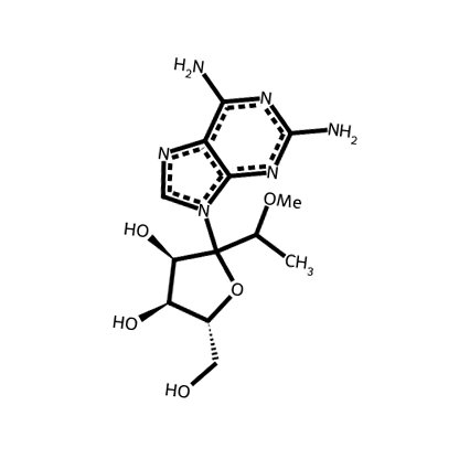 COC(C)C1(n2cnc3c(N)nc(N)nc32)O[C@H](CO)[C@@H](O)[C@H]1O